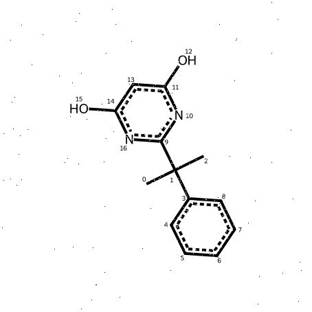 CC(C)(c1ccccc1)c1nc(O)cc(O)n1